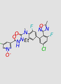 CCN(NC(=O)c1cc(Cl)c[n+]([O-])c1)C(=O)N(C)c1ccc(-c2cc(Cl)cc(F)c2-c2noc(C)n2)cc1F